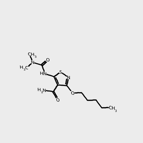 CCCCCOc1nsc(NC(=O)N(C)C)c1C(N)=O